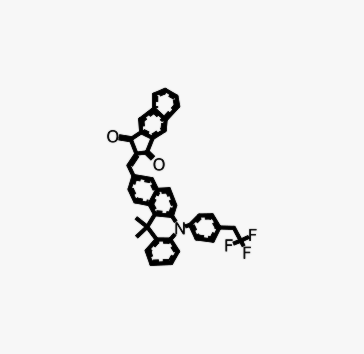 CC1(C)c2ccccc2N(c2ccc(CC(F)(F)F)cc2)c2ccc3cc(C=C4C(=O)c5cc6ccccc6cc5C4=O)ccc3c21